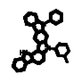 CC1C=C(n2c3cc4c(cc3c3c5[nH]c6ccccc6c5ccc32)c2ccccc2n4-c2ccccc2)C=CC1